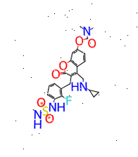 CNS(=O)(=O)Nc1cccc(Cc2c(CNC3CC3)c3ccc(OC(=O)N(C)C)cc3oc2=O)c1F